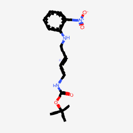 CC(C)(C)OC(=O)NC/C=C/CNc1ccccc1[N+](=O)[O-]